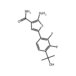 CC(C)(O)c1ccc(-c2cc(C(N)=O)c([AsH2])s2)c(F)c1F